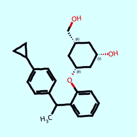 CC(c1ccc(C2CC2)cc1)c1ccccc1O[C@H]1C[C@@H](O)C[C@@H](CO)C1